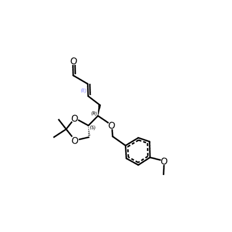 COc1ccc(CO[C@H](C/C=C/C=O)[C@@H]2COC(C)(C)O2)cc1